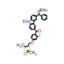 CCn1c2ccc(C(=O)c3ccc(OCC4SC(C)(Cl)SC4C)cc3F)cc2c2cc(/C(=N/OC(C)=O)c3ccccc3)ccc21